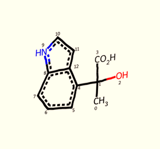 CC(O)(C(=O)O)c1cccc2[nH]ccc12